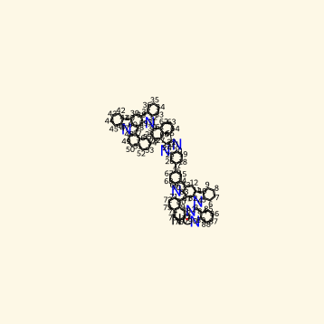 N#Cc1nc(-n2c3ccccc3c3cc4c5cc(-c6ccc7nc8c(nc7c6)-c6ccc(-n7c9ccccc9c9cc%10c%11ccccc%11n%11c%12ccc%13ccccc%13c%12c(c97)c%10%11)c7cccc-8c67)ccc5n5c6ccc7ccccc7c6c(c32)c45)c2ccccc2n1